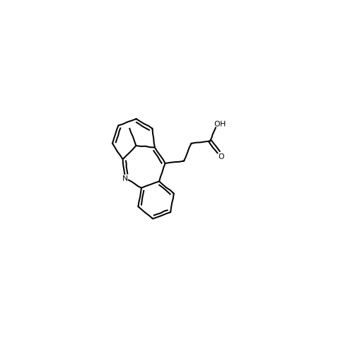 CC1C2=Nc3ccccc3C(CCC(=O)O)=C1C=CC=C2